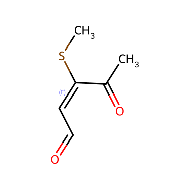 CS/C(=C/C=O)C(C)=O